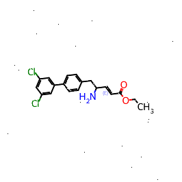 CCOC(=O)/C=C/C(N)Cc1ccc(-c2cc(Cl)cc(Cl)c2)cc1